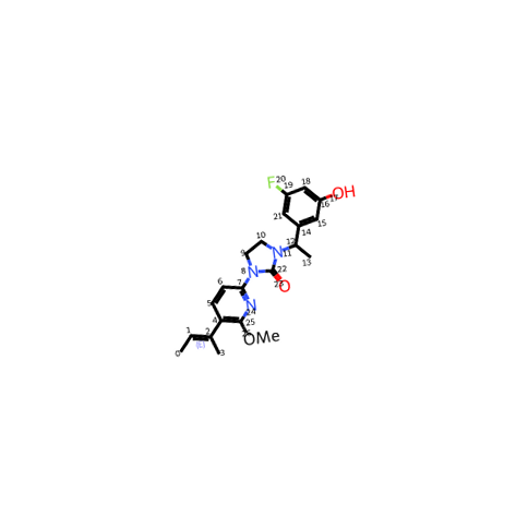 C/C=C(\C)c1ccc(N2CCN(C(C)c3cc(O)cc(F)c3)C2=O)nc1OC